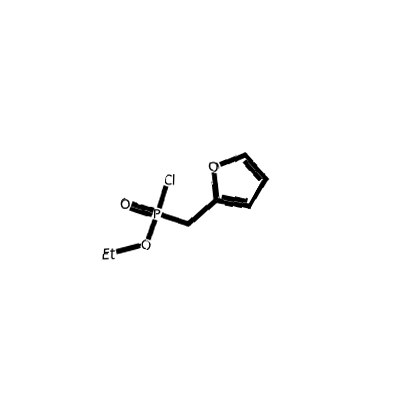 CCOP(=O)(Cl)Cc1ccco1